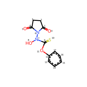 O=C1CCC(=O)N1N(O)C(=S)Oc1ccccc1